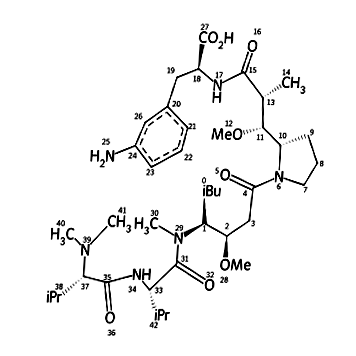 CC[C@H](C)[C@@H]([C@@H](CC(=O)N1CCC[C@H]1[C@H](OC)[C@@H](C)C(=O)N[C@@H](Cc1cccc(N)c1)C(=O)O)OC)N(C)C(=O)[C@@H](NC(=O)[C@H](C(C)C)N(C)C)C(C)C